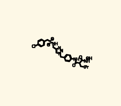 CC(C)CC(C(=O)NO)C(=O)Nc1ccc(Cn2cc(CNS(=O)(=O)Cc3ccc(Cl)cc3)nn2)cc1